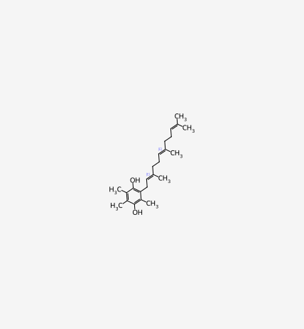 CC(C)=CCC/C(C)=C/CC/C(C)=C/Cc1c(C)c(O)c(C)c(C)c1O